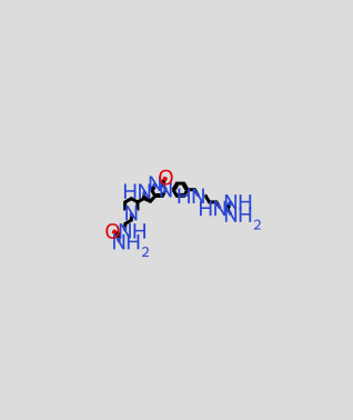 N=C(N)NCCCNCc1ccc(-n2cc3cc(C4CCCN(CCNC(N)=O)C4)[nH]c3nc2=O)cc1